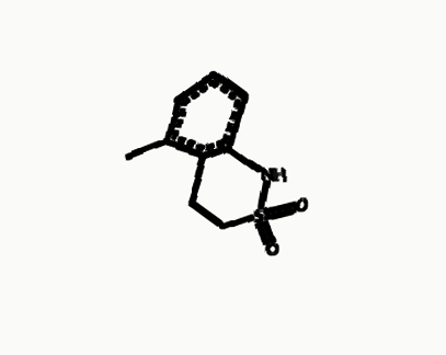 Cc1cccc2c1CCS(=O)(=O)N2